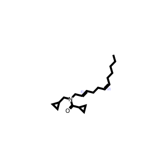 CCCCC/C=C\CC/C=C/CN(CC1CC1)C(=O)C1CC1